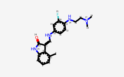 Cc1cccc2c1C(=CNc1ccc(NCCN(C)C)c(F)c1)C(=O)N2